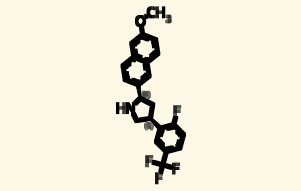 COc1ccc2cc([C@H]3C[C@@H](c4cc(C(F)(F)F)ccc4F)CN3)ccc2c1